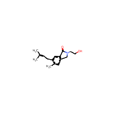 CC(C)=CCc1cc2c(cc1C)CN(CCO)C2=O